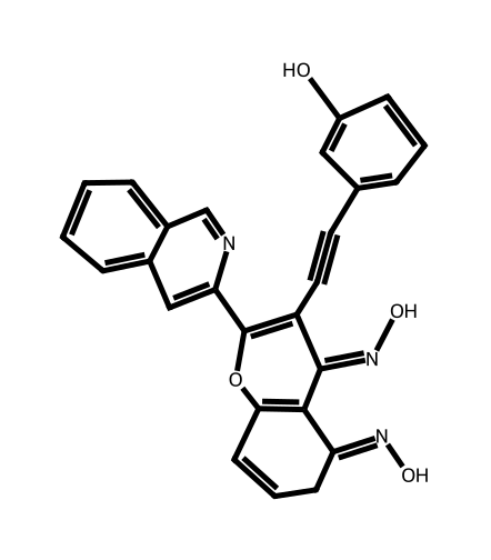 ON=C1CC=Cc2oc(-c3cc4ccccc4cn3)c(C#Cc3cccc(O)c3)c(=NO)c21